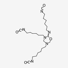 O=C=NCCCCCC/N=C1/OCN(CCCCCCN=C=O)CN1CCCCCCN=C=O